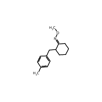 CO/N=C1\CCCCC1Cc1ccc(C)cc1